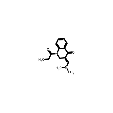 CCC(=O)N1CC(=CN(C)C)C(=O)c2ccccc21